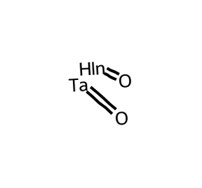 [O]=[InH].[O]=[Ta]